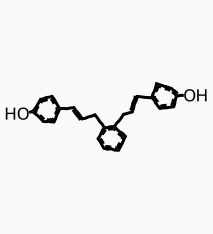 Oc1ccc(C=CCc2ccccc2CC=Cc2ccc(O)cc2)cc1